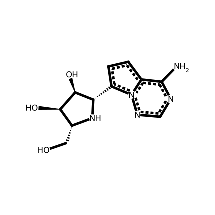 Nc1ncnn2c([C@@H]3N[C@H](CO)[C@@H](O)[C@H]3O)ccc12